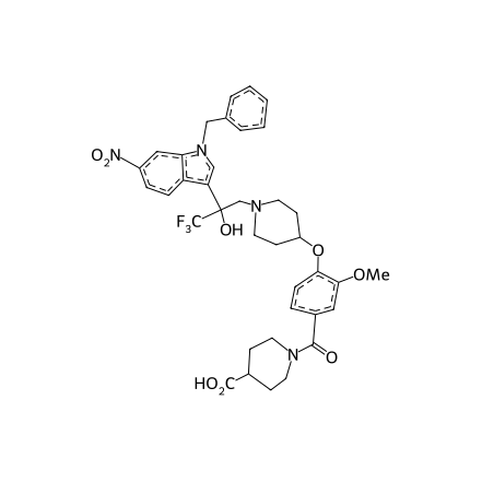 COc1cc(C(=O)N2CCC(C(=O)O)CC2)ccc1OC1CCN(CC(O)(c2cn(Cc3ccccc3)c3cc([N+](=O)[O-])ccc23)C(F)(F)F)CC1